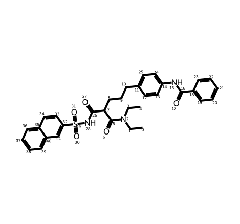 CCN(CC)C(=O)C(CCCc1ccc(NC(=O)c2ccccc2)cc1)C(=O)NS(=O)(=O)c1ccc2ccccc2c1